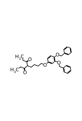 CCC(=O)C(CCCCOc1ccc(OCc2ccccc2)c(OCc2ccccc2)c1)C(=O)CC